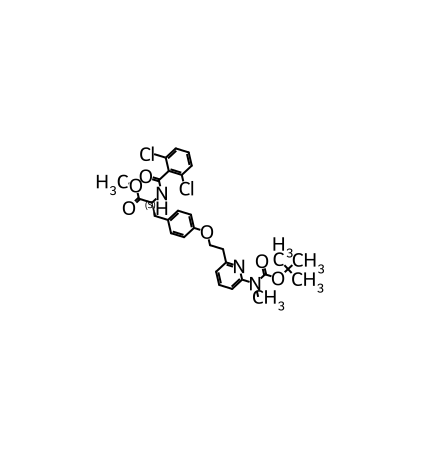 COC(=O)[C@H](Cc1ccc(OCCc2cccc(N(C)C(=O)OC(C)(C)C)n2)cc1)NC(=O)c1c(Cl)cccc1Cl